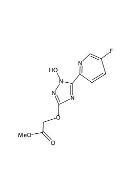 COC(=O)COc1nc(-c2ccc(F)cn2)n(O)n1